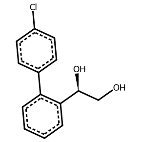 OC[C@H](O)c1ccccc1-c1ccc(Cl)cc1